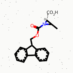 CC1[C@@H](C(=O)O)N1C(=O)OCC1c2ccccc2-c2ccccc21